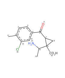 Cc1ccc(C(=O)C2CC2(C(=O)O)C(C)N)cc1Cl